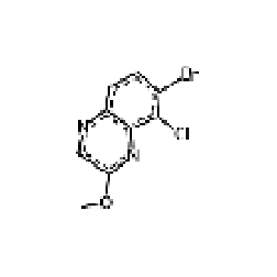 COc1cnc2ccc(Br)c(Cl)c2n1